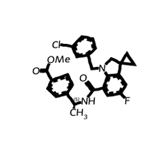 COC(=O)c1ccc([C@H](C)NC(=O)c2cc(F)cc3c2N(Cc2cccc(Cl)c2)CC32CC2)cc1